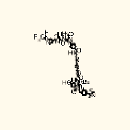 Cc1ncsc1-c1ccc(CNC(=O)[C@@H]2C[C@@H](O)CN2C(=O)[C@@H](NC(=O)COCCOCCOCCNC(=O)c2ccc(-n3cc(NC(=O)c4coc(-c5ccnc(NCC(F)(F)F)c5)n4)c(C(N)=O)n3)cc2)C(C)(C)C)cc1